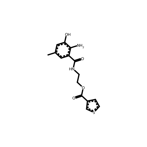 Cc1cc(O)c(N)c(C(=O)NCCOC(=O)c2ccsc2)c1